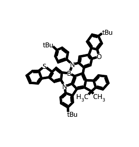 CC(C)(C)c1ccc(N2B3c4cc5sc6ccccc6c5cc4-n4c5ccc(C(C)(C)C)cc5c5c6c(c(c3c54)-c3cc4oc5cc(C(C)(C)C)ccc5c4cc32)-c2ccccc2C6(C)C)cc1